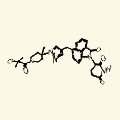 CC(C)(Cl)C(=O)N1CCC(C)(n2cc(Cc3ccc4c5c(cccc35)C(=O)N4C3CCC(=O)NC3=O)cn2)CC1